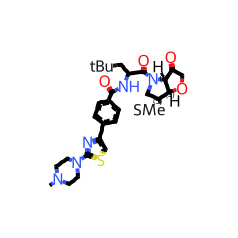 CS[C@H]1CN(C(=O)C(CC(C)(C)C)NC(=O)c2ccc(-c3csc(N4CCN(C)CC4)n3)cc2)[C@@H]2C(=O)CO[C@H]12